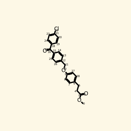 COC(=O)CCc1ccc(OCc2ccc(C(=O)c3ccc(Cl)cc3)cc2)cc1